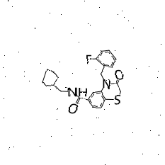 O=C(NCC1CCCCC1)c1ccc2c(c1)N(Cc1ccccc1F)C(=O)CS2